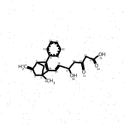 C=C1CC2(C)CC1C(c1ccccc1)=C2C=CC(O)CC(=O)CC(=O)O